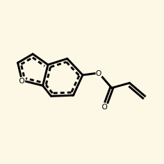 C=CC(=O)Oc1ccc2occc2c1